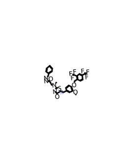 COc1cc(/C=C2\SC(N(C)Cc3nnc(-c4ccccc4)o3)=NC2=O)ccc1OCc1ccc(C(F)(F)F)cc1C(F)(F)F